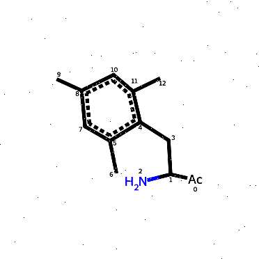 CC(=O)C(N)Cc1c(C)cc(C)cc1C